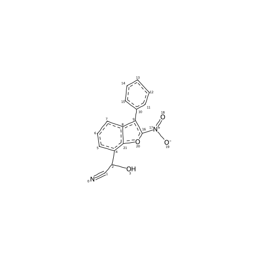 N#CC(O)c1cccc2c(-c3ccccc3)c([N+](=O)[O-])oc12